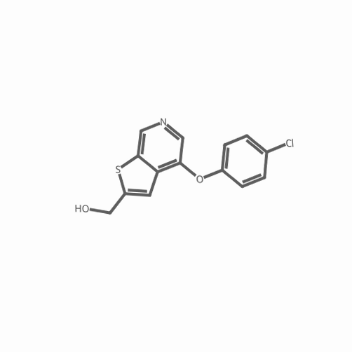 OCc1cc2c(Oc3ccc(Cl)cc3)cncc2s1